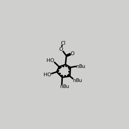 CCCCc1c(O)c(O)c(C(=O)OCl)c(CCCC)c1CCCC